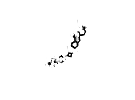 CC(C)(C)OC(=O)N1CCN([C@H]2C[C@H](Oc3cc4c(cc3F)C(=O)N(C3CCC(=O)NC3=O)C4)C2)CC1